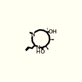 C=CCC1CCN(C)CCC[C@@](C)(O)C[C@@H](C)C[C@@H](C)C(=O)N1